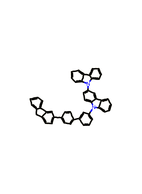 c1cc(-c2ccc(-c3ccc4c(c3)-c3ccccc3C4)cc2)cc(-n2c3ccccc3c3cc(-n4c5ccccc5c5ccccc54)ccc32)c1